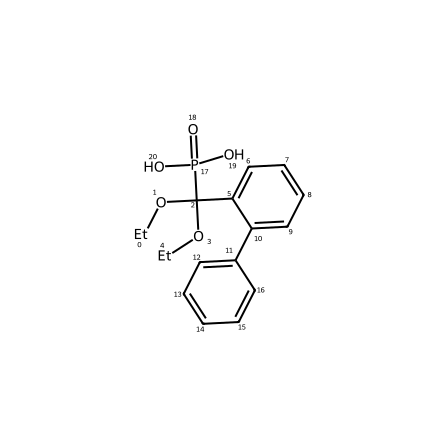 CCOC(OCC)(c1ccccc1-c1ccccc1)P(=O)(O)O